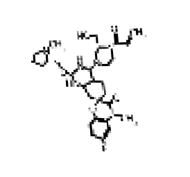 C=CC(=O)N1CCN(C2NC(OC[C@@H]3CCCN3C)NC3C[C@]4(CCC32)Oc2ccc(F)cc2N(C)C4=O)C[C@H]1CC#N